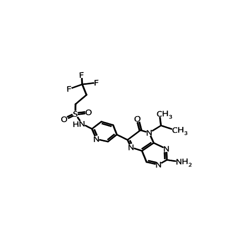 CC(C)n1c(=O)c(-c2ccc(NS(=O)(=O)CCC(F)(F)F)nc2)nc2cnc(N)nc21